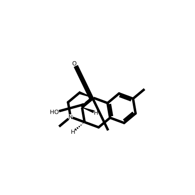 Cc1ccc2c(c1)[C@]13CCN(C)[C@H](C2)[C@@H]1C(O)OC(=O)C3